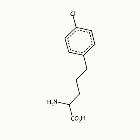 NC(CCCc1ccc(Cl)cc1)C(=O)O